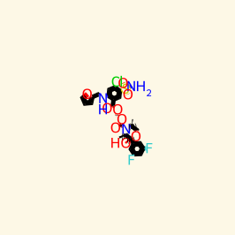 C[C@@H]1CO[C@](O)(c2cc(F)cc(F)c2)[C@@H](C)N1C(=O)OCOC(=O)c1cc(S(N)(=O)=O)c(Cl)cc1NCc1ccco1